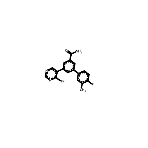 Cc1cc(-c2cc(C(N)=O)cc(-c3cncnc3C(C)C)c2)ccc1F